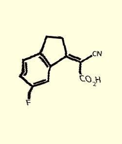 N#C/C(C(=O)O)=C1\CCc2ccc(F)cc21